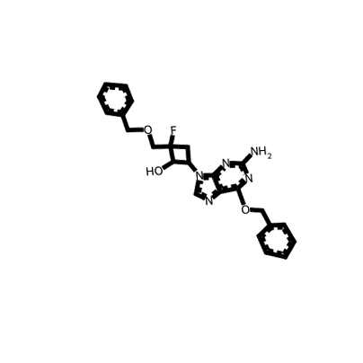 Nc1nc(OCc2ccccc2)c2ncn(C3CC(F)(COCc4ccccc4)C3O)c2n1